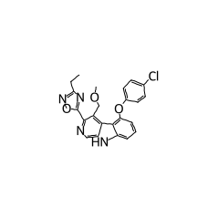 CCc1noc(-c2ncc3[nH]c4cccc(Oc5ccc(Cl)cc5)c4c3c2COC)n1